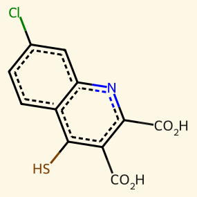 O=C(O)c1nc2cc(Cl)ccc2c(S)c1C(=O)O